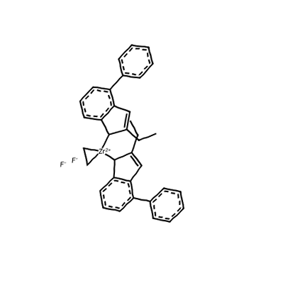 CCC1=Cc2c(-c3ccccc3)cccc2[CH]1[Zr+2]1([CH]2C(CC)=Cc3c(-c4ccccc4)cccc32)[CH2][CH2]1.[F-].[F-]